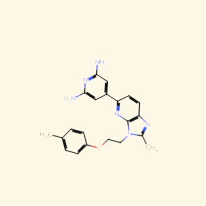 Cc1ccc(OCCn2c(C)nc3ccc(-c4cc(N)nc(N)c4)nc32)cc1